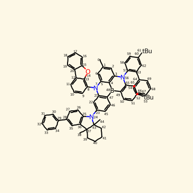 Cc1cc2c3c(c1)N(c1cccc4c1oc1ccccc14)c1cc(N4c5ccc(-c6ccccc6)cc5C5(C)CCCCC45C)ccc1B3c1ccc(C(C)(C)C)cc1N2c1ccc(C(C)(C)C)cc1-c1ccccc1